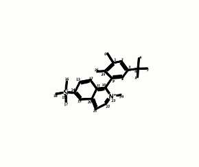 Cc1cc(C(C)(C)C)cc(-c2c3ccc([Si](C)(C)C)cc3cc[n+]2C)c1C